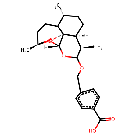 C[C@@H]1CC[C@H]2[C@@H](C)C(OCc3ccc(C(=O)O)cc3)O[C@@H]3O[C@@]4(C)CCC1[C@]32OO4